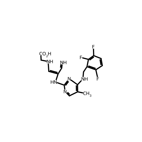 Cc1cnc(N/C(C=N)=C/NCC(=O)O)nc1NCc1c(F)ccc(F)c1F